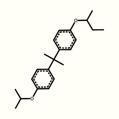 CCC(C)Oc1ccc(C(C)(C)c2ccc(OC(C)C)cc2)cc1